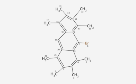 Cc1c(C)c(C)c2c(Br)c3c(C)c(C)c(C)c(C)c3cc2c1C